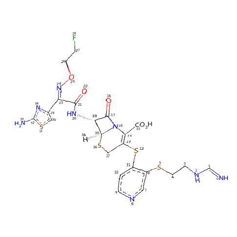 N=CNCCSc1cnccc1SC1=C(C(=O)O)N2C(=O)[C@@H](NC(=O)/C(=N\OCCF)c3csc(N)n3)[C@@H]2SC1